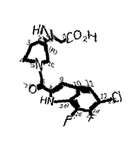 O=C(O)N[C@@H]1CCN(C(=O)c2cc3cc(Cl)c(F)c(F)c3[nH]2)C1